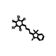 CCN1C(=O)C(=CC=CC=C2N(C)c3ccccc3C2(C)C)C(=O)N(CC)C1=S